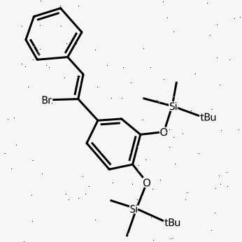 CC(C)(C)[Si](C)(C)Oc1ccc(C(Br)=Cc2c[c]ccc2)cc1O[Si](C)(C)C(C)(C)C